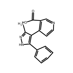 Cc1n[nH]c(-c2ccccc2)c1-c1ccncc1C(=O)O